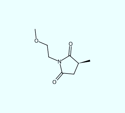 COCCN1C(=O)C[C@H](C)C1=O